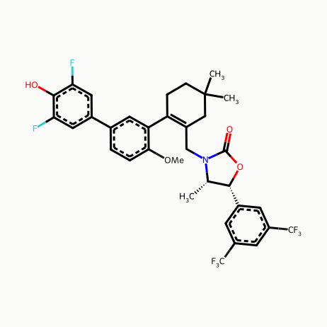 COc1ccc(-c2cc(F)c(O)c(F)c2)cc1C1=C(CN2C(=O)O[C@H](c3cc(C(F)(F)F)cc(C(F)(F)F)c3)[C@@H]2C)CC(C)(C)CC1